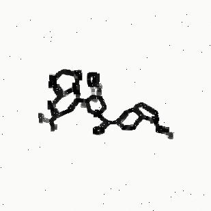 C[C@@H]1CCN(C(=O)c2ccc3c(ccn3C)c2)C[C@H]1c1cc(C(F)F)nc2ncnn12